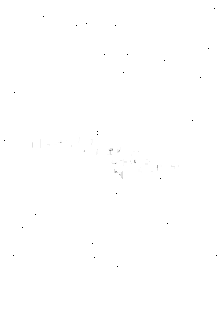 CCCCCCCCCCCCCCCCCC(=O)OC(CN)COC(=O)CCCCCCCCCCCCC